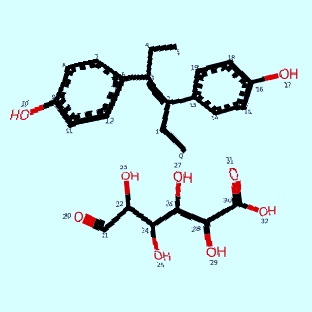 CC/C(=C(/CC)c1ccc(O)cc1)c1ccc(O)cc1.O=CC(O)C(O)C(O)C(O)C(=O)O